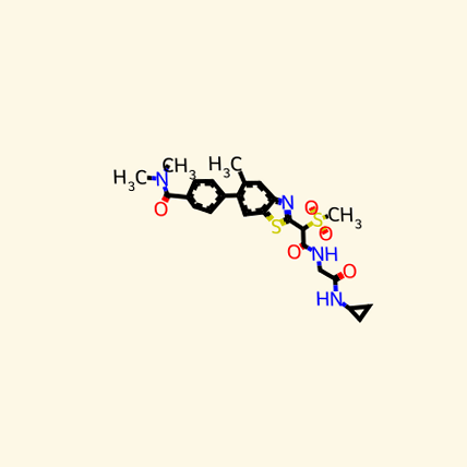 Cc1cc2nc(C(C(=O)NCC(=O)NC3CC3)S(C)(=O)=O)sc2cc1-c1ccc(C(=O)N(C)C)cc1